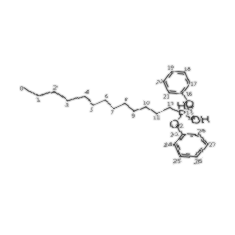 CCCCCCCCCCCCC[PH](O)(Oc1ccccc1)Oc1ccccc1